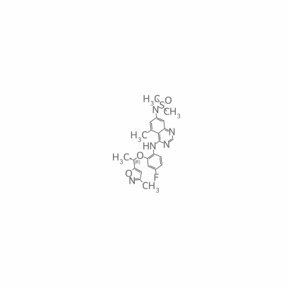 Cc1cc([C@@H](C)Oc2cc(F)ccc2Nc2ncnc3cc(N=S(C)(C)=O)cc(C)c23)on1